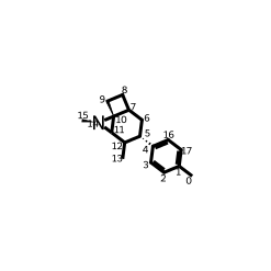 Cc1ccc([C@H]2CC3CC[C@]34C(C2C)[N@@]4C)cc1